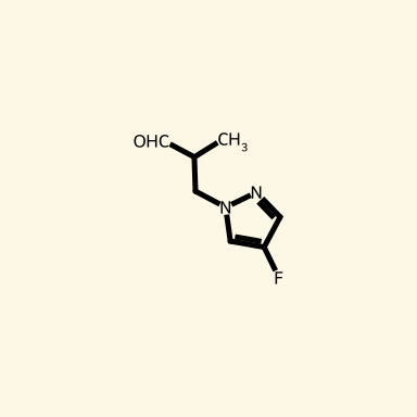 CC(C=O)Cn1cc(F)cn1